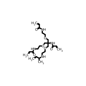 C=CC(=O)NCCOCC(COCCNC(=O)C=C)(COCCNC(C)C=C)NC(=O)C=C